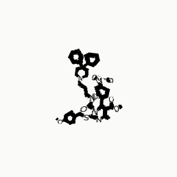 COC(=O)C1=C(C)N=C(SCc2ccc(OC)cc2)N(C(=O)N(O)CCCN2CCC(c3ccccc3)(c3ccccc3)CC2)C1c1ccc([N+](=O)[O-])cc1